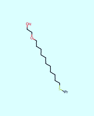 CC(C)SCCCCCCCCCCCOCCO